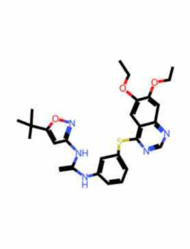 C=C(Nc1cccc(Sc2ncnc3cc(OCC)c(OCC)cc23)c1)Nc1cc(C(C)(C)C)on1